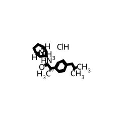 CC(C)Cc1ccc([C@@H](C)C(=O)N[C@@H]2C[C@H]3CC[C@@H](C2)N3C)cc1.Cl